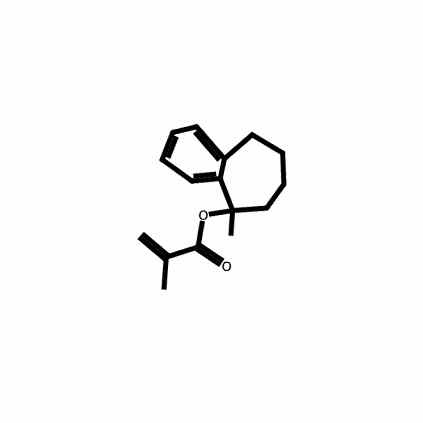 C=C(C)C(=O)OC1(C)CCCCc2ccccc21